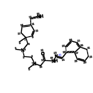 CN(CCN(C)CC1(C)C=CC(C=N)=CC1)CC(=O)N/N=C/c1cccc2c1C=CCC2